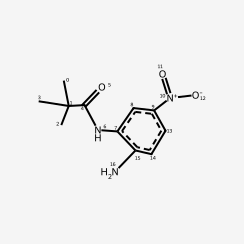 CC(C)(C)C(=O)Nc1cc([N+](=O)[O-])ccc1N